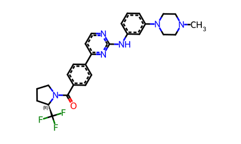 CN1CCN(c2cccc(Nc3nccc(-c4ccc(C(=O)N5CCC[C@@H]5C(F)(F)F)cc4)n3)c2)CC1